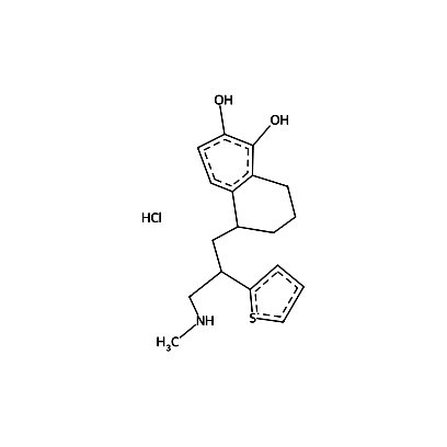 CNCC(CC1CCCc2c1ccc(O)c2O)c1cccs1.Cl